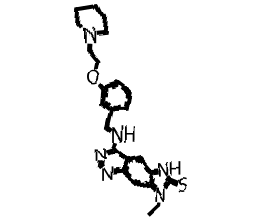 CCn1c(=S)[nH]c2cc3c(NCc4cccc(OCCN5CCCCC5)c4)ncnc3cc21